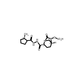 C[C@@H]1CCCC1C(=O)NNC(=O)[C@@H]1CC[C@@H]2CN1C(=O)N2OS(=O)(=O)O